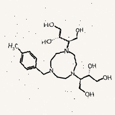 Cc1ccc(CN2CCN([C@H](CO)[C@H](O)CO)CCN([C@H](CO)[C@H](O)CO)CC2)cc1